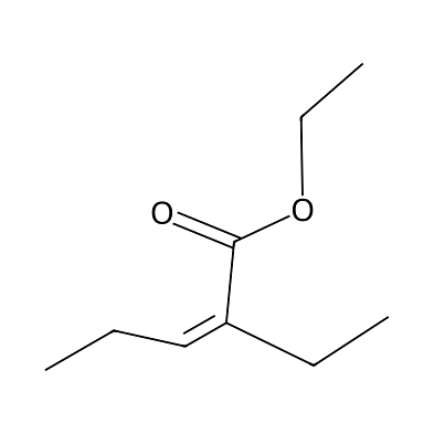 CCC=C(CC)C(=O)OCC